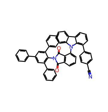 N#Cc1ccc(-c2cccc3c4ccccc4n(-c4cccc5c4C(=O)N(c4c(-c6ccccc6)cc(-c6ccccc6)cc4-c4ccccc4)C5=O)c23)cc1